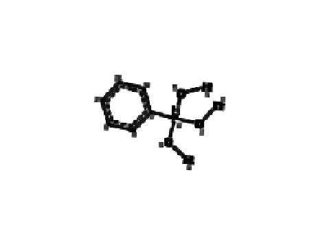 CCO[PH](OCC)(OCC)c1ccccc1